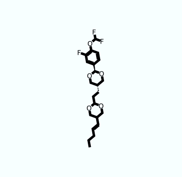 CCC/C=C/C1COC(CC[C@H]2CO[C@H](c3ccc(OC(F)F)c(F)c3)OC2)OC1